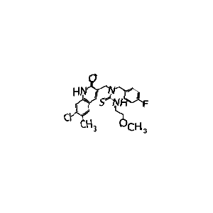 COCCNC(=S)N(Cc1ccc(F)cc1)Cc1cc2cc(C)c(Cl)cc2[nH]c1=O